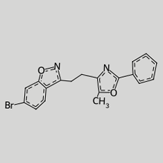 Cc1oc(-c2ccccc2)nc1CCc1noc2cc(Br)ccc12